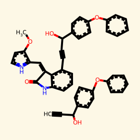 C#CC(O)c1ccc(Oc2ccccc2)cc1.COc1cc[nH]c1C=C1C(=O)Nc2cccc(C#CC(O)c3ccc(Oc4ccccc4)cc3)c21